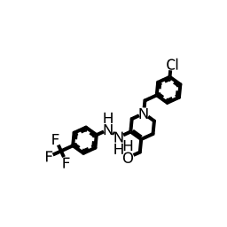 OCC1=C(NNc2ccc(C(F)(F)F)cc2)CN(Cc2cccc(Cl)c2)CC1